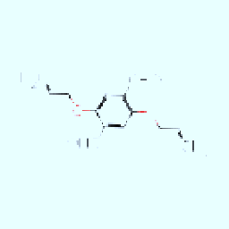 C=CCOc1cc(C=O)c(OCC=C)cc1C=O